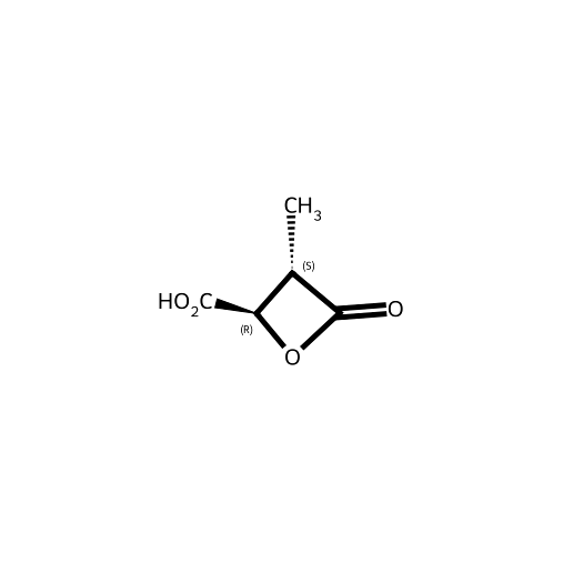 C[C@@H]1C(=O)O[C@H]1C(=O)O